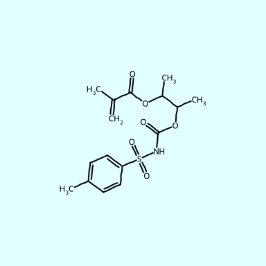 C=C(C)C(=O)OC(C)C(C)OC(=O)NS(=O)(=O)c1ccc(C)cc1